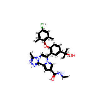 CCNC(=O)c1cc2c3nnc(C)n3cc(-c3cc(C(C)(C)O)ccc3Oc3c(C)cc(F)cc3C)n2c1